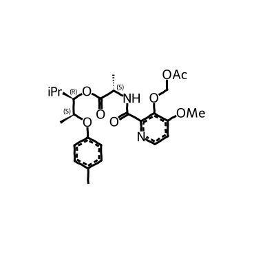 COc1ccnc(C(=O)N[C@@H](C)C(=O)O[C@H](C(C)C)[C@H](C)Oc2ccc(C)cc2)c1OCOC(C)=O